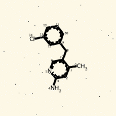 Cc1cc(N)ncc1Cc1cccc(Cl)c1